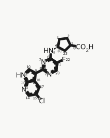 O=C(O)C1CC[C@@H](Nc2nc(-c3c[nH]c4ncc(Cl)cc34)ncc2F)C1